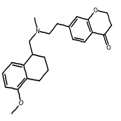 COc1cccc2c1CCCC2CN(C)CCc1ccc2c(c1)OCCC2=O